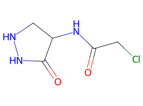 O=C(CCl)NC1CNNC1=O